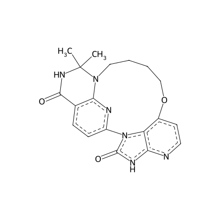 CC1(C)NC(=O)c2ccc3nc2N1CCCCOc1ccnc2[nH]c(=O)n-3c12